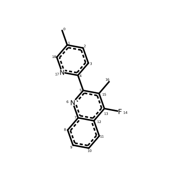 Cc1ccc(-c2nc3ccccc3c(F)c2C)nc1